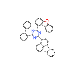 c1ccc(-c2ccccc2-c2nc(-c3ccc4c5c(cccc35)-c3ccccc3-4)nc(-c3cccc4oc5ccccc5c34)n2)cc1